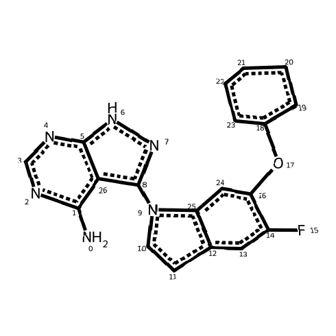 Nc1ncnc2[nH]nc(-n3ccc4cc(F)c(Oc5ccccc5)cc43)c12